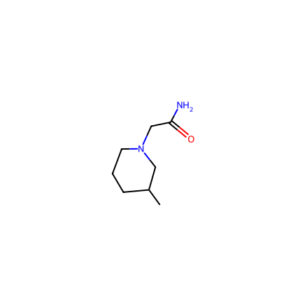 CC1CCCN(CC(N)=O)C1